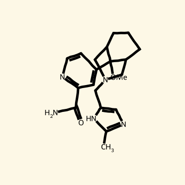 COC1(c2ccnc(C(N)=O)c2)C2CCCC1CN(Cc1cnc(C)[nH]1)C2